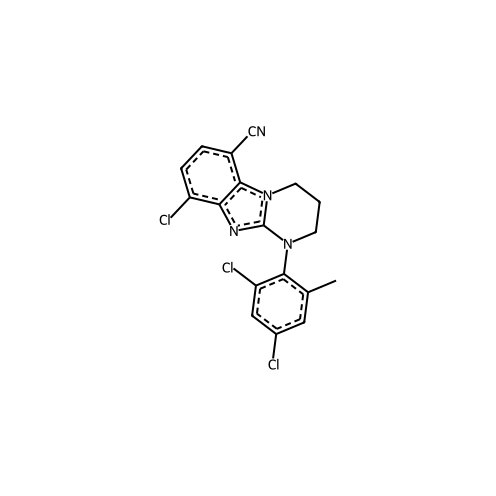 Cc1cc(Cl)cc(Cl)c1N1CCCn2c1nc1c(Cl)ccc(C#N)c12